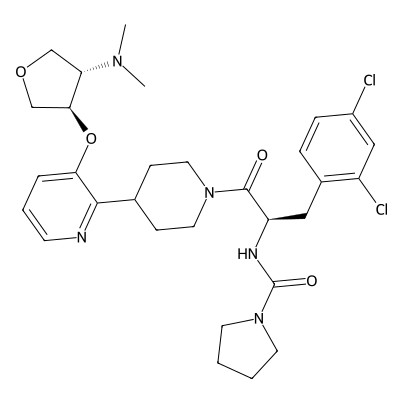 CN(C)[C@H]1COC[C@@H]1Oc1cccnc1C1CCN(C(=O)[C@@H](Cc2ccc(Cl)cc2Cl)NC(=O)N2CCCC2)CC1